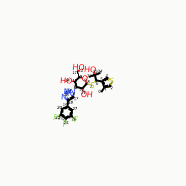 Cc1cscc1C(S[C@@H]1O[C@H](CO)[C@H](O)[C@H](n2cc(-c3cc(F)c(F)c(F)c3)nn2)[C@H]1O)C(C)(C)O